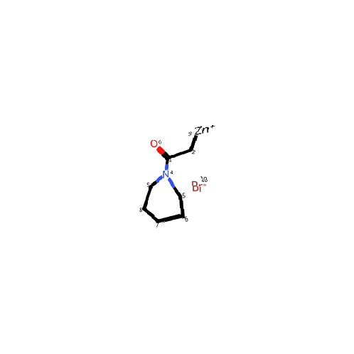 O=C([CH2][Zn+])N1CCCCC1.[Br-]